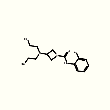 O=C(Nc1ccccc1Cl)N1CC(N(CCO)CCO)C1